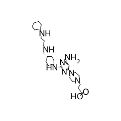 Nc1cc(N2CCN(CCC(=O)O)CC2)nc(N[C@H]2CC[C@@H](CNCCCNC3CCCCC3)CC2)n1